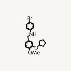 COc1ccc(CNc2ccc(Br)cc2)cc1OC1CCCC1